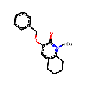 CCCCn1c2c(cc(OCc3ccccc3)c1=O)CCCC2